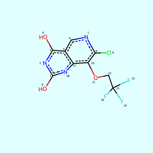 Oc1nc(O)c2cnc(Cl)c(OCC(F)(F)F)c2n1